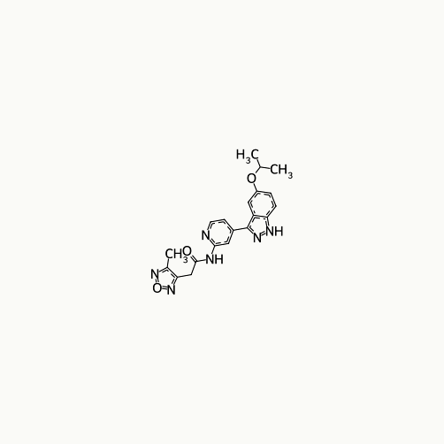 Cc1nonc1CC(=O)Nc1cc(-c2n[nH]c3ccc(OC(C)C)cc23)ccn1